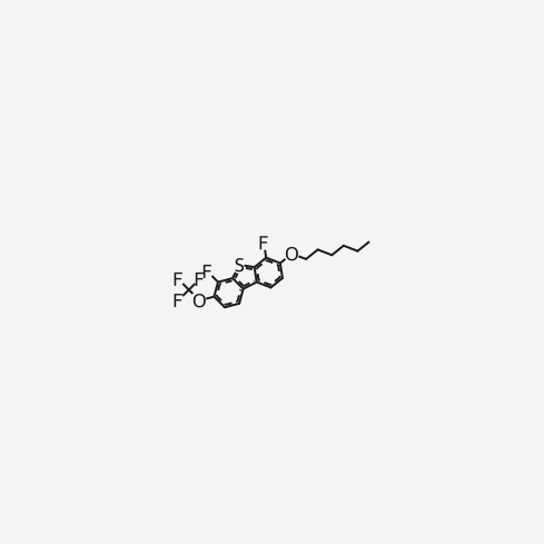 CCCCCCOc1ccc2c(sc3c(F)c(OC(F)(F)F)ccc32)c1F